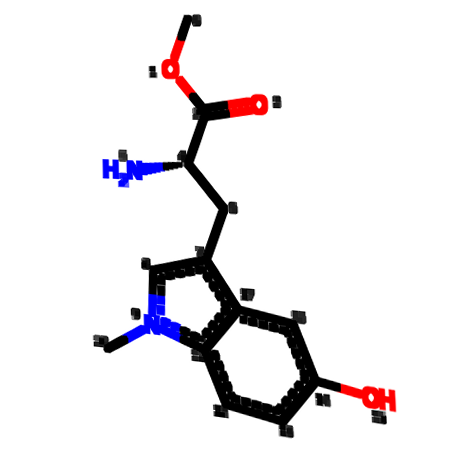 COC(=O)[C@@H](N)Cc1cn(C)c2ccc(O)cc12